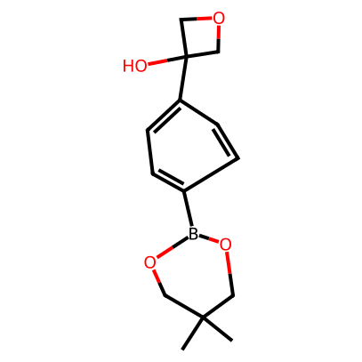 CC1(C)COB(c2ccc(C3(O)COC3)cc2)OC1